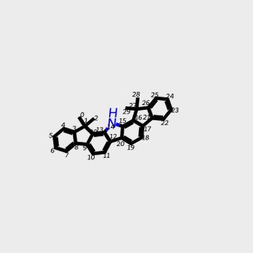 CC1(C)c2ccccc2-c2ccc3c([nH]c4c5c(ccc43)-c3ccccc3C5(C)C)c21